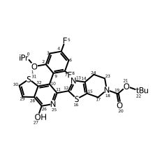 CC(C)Oc1cc(F)cc(F)c1-c1c(-c2nc3c(s2)CN(C(=O)OC(C)(C)C)CC3)nc(O)c2ccsc12